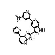 CN(C)c1cncc(-c2cc3c(-c4nc5c(-c6cccs6)ccnc5[nH]4)n[nH]c3cn2)c1